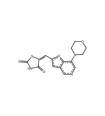 O=C1NC(=O)/C(=C\c2cc3cncc(N4CCOCC4)c3o2)S1